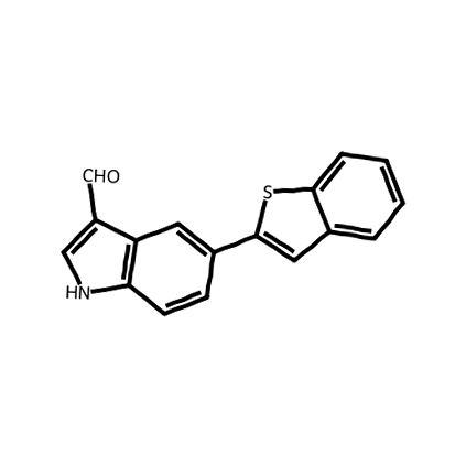 O=Cc1c[nH]c2ccc(-c3cc4ccccc4s3)cc12